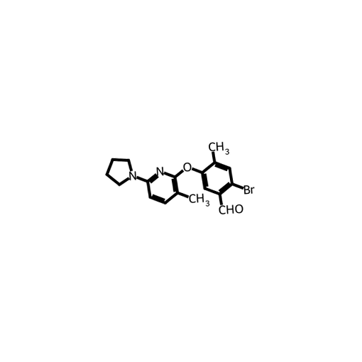 Cc1cc(Br)c(C=O)cc1Oc1nc(N2CCCC2)ccc1C